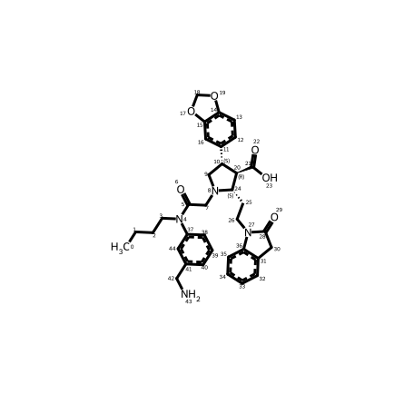 CCCCN(C(=O)CN1C[C@H](c2ccc3c(c2)OCO3)[C@@H](C(=O)O)[C@@H]1CCN1C(=O)Cc2ccccc21)c1cccc(CN)c1